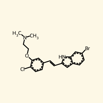 CN(C)CCOc1cc(/C=C/c2cc3ccc(Br)cc3[nH]2)ccc1Cl